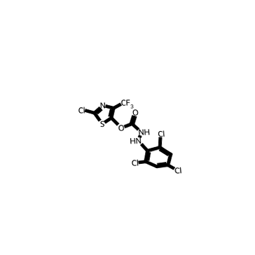 O=C(NNc1c(Cl)cc(Cl)cc1Cl)Oc1sc(Cl)nc1C(F)(F)F